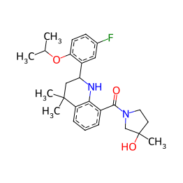 CC(C)Oc1ccc(F)cc1C1CC(C)(C)c2cccc(C(=O)N3CCC(C)(O)C3)c2N1